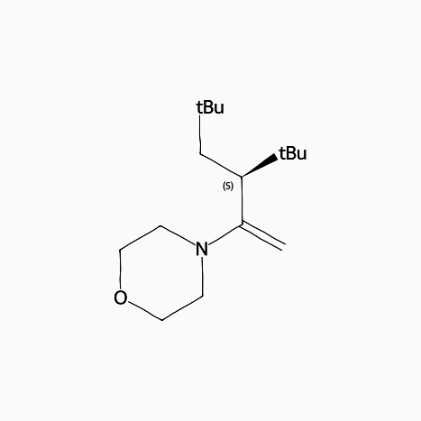 C=C([C@@H](CC(C)(C)C)C(C)(C)C)N1CCOCC1